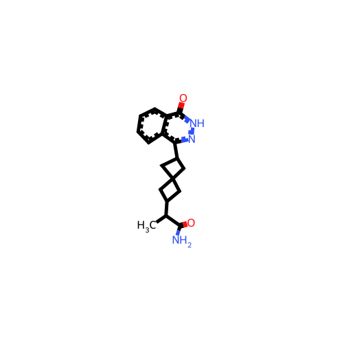 CC(C(N)=O)C1CC2(CC(c3n[nH]c(=O)c4ccccc34)C2)C1